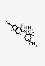 CN1CCC(Nc2ncc3oc(C#N)cc3c2F)C(C)(C)C1